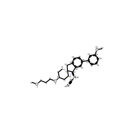 COCCCO[C@H]1CC[C@]2(CC1)Cc1ccc(-c3cccc(OC)c3)cc1/C2=N/C#N